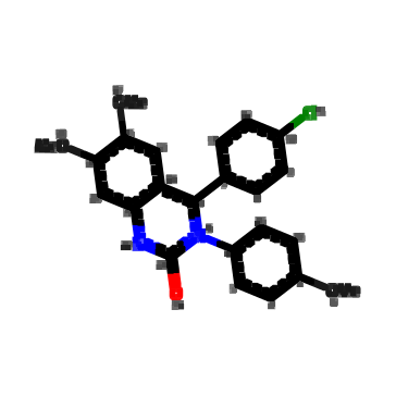 COc1ccc(-n2c(-c3ccc(Cl)cc3)c3cc(OC)c(OC)cc3nc2=O)cc1